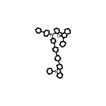 c1ccc(-c2ccc(N(c3ccc(-c4ccc(-c5ccc(-c6ccc7c8ccccc8n(-c8ccccc8)c7c6)cc5)cc4)cc3)c3cccc4c3oc3c(-c5ccccc5)cc5ccccc5c34)cc2)cc1